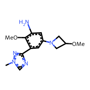 COc1c(N)cc(N2CC(OC)C2)cc1-c1ncn(C)n1